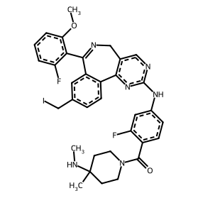 CNC1(C)CCN(C(=O)c2ccc(Nc3ncc4c(n3)-c3ccc(CI)cc3C(c3c(F)cccc3OC)=NC4)cc2F)CC1